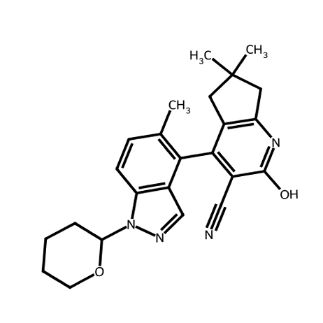 Cc1ccc2c(cnn2C2CCCCO2)c1-c1c(C#N)c(O)nc2c1CC(C)(C)C2